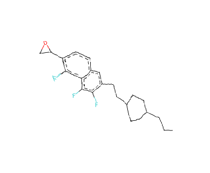 CCCC1CCC(CCc2cc3ccc(C4CO4)c(F)c3c(F)c2F)CC1